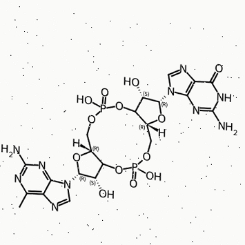 Cc1nc(N)nc2c1ncn2[C@@H]1O[C@@H]2COP(=O)(O)OC3[C@@H](COP(=O)(O)OC2[C@@H]1O)O[C@@H](n1cnc2c(=O)[nH]c(N)nc21)[C@H]3O